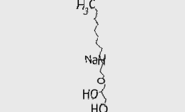 CCCCCCCCCCCCOCC(O)CO.[NaH]